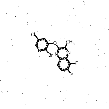 Cc1nc2c(F)c(F)ccc2nc1Oc1cc(Cl)cnc1Br